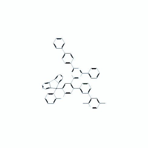 Cc1cnc(C)c(-c2cccc(-c3cc4c(cc3-c3nc(-c5ccccc5)nc(-c5ccc(-c6ccccc6)cc5)n3)C3(c5ccccc5O4)c4ccccc4-c4ccccc43)c2)c1